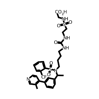 Cc1cnccc1-c1cccc(C(C)N(CCCCNC(=O)NCCS(=O)(=O)NCC(=O)O)S(=O)(=O)c2ccccc2C(F)(F)F)c1